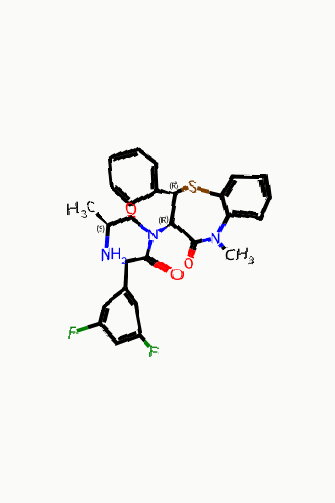 C[C@H](N)C(=O)N(C(=O)Cc1cc(F)cc(F)c1)[C@@H]1C(=O)N(C)c2ccccc2S[C@@H]1c1ccccc1